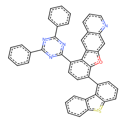 c1ccc(-c2nc(-c3ccccc3)nc(-c3ccc(-c4cccc5sc6ccccc6c45)c4oc5cc6ncccc6cc5c34)n2)cc1